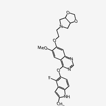 COc1cc2c(Oc3ccc4[nH]c(C)cc4c3F)ncnc2cc1OCCN1CC2OCOC2C1